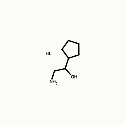 Cl.NCC(O)C1CCCC1